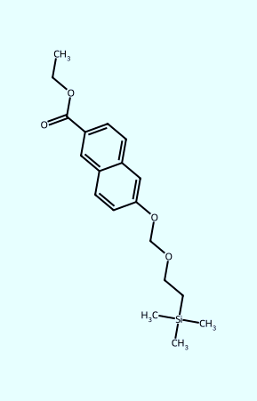 CCOC(=O)c1ccc2cc(OCOCC[Si](C)(C)C)ccc2c1